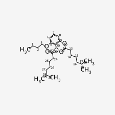 CCCCOc1cccc(OC(=O)CCCCC(C)C)c1OC(=O)CCCCC(C)C